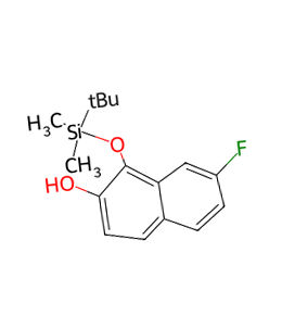 CC(C)(C)[Si](C)(C)Oc1c(O)ccc2ccc(F)cc12